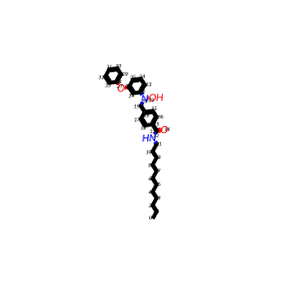 CCCCCCCCCCCCNC(=O)c1ccc(CN(O)c2cccc(Oc3ccccc3)c2)cc1